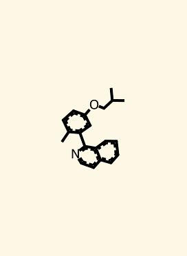 Cc1ccc(OCC(C)C)cc1-c1nccc2ccccc12